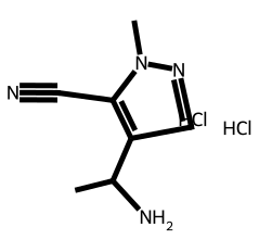 CC(N)c1cnn(C)c1C#N.Cl.Cl